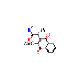 CCCC(C(=O)N(C)C)C1=C(OC)C(=O)c2ccccc2C1=O